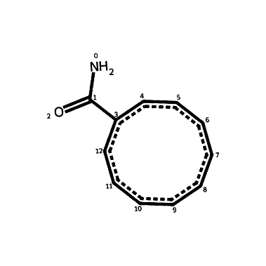 NC(=O)c1ccccccccc1